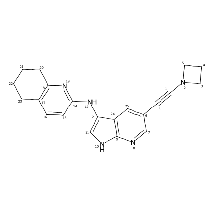 C(#CN1CCC1)c1cnc2[nH]cc(Nc3ccc4c(n3)CCCC4)c2c1